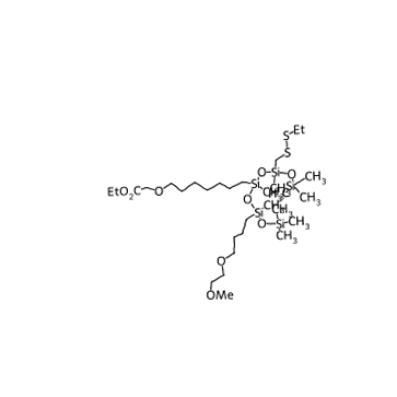 CCOC(=O)COCCCCCCC[Si](C)(O[Si](C)(CCCCOCCOC)O[Si](C)(C)C)O[Si](C)(CSSCC)O[Si](C)(C)C